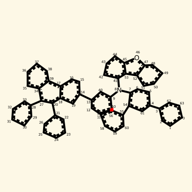 c1ccc(-c2ccc(N(c3cccc(-c4ccc5c(c4)c(-c4ccccc4)c(-c4ccccc4)c4ccccc45)c3)c3cccc4oc5ccccc5c34)c(-c3ccccc3)c2)cc1